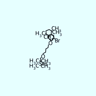 C[SiH](C)C(C)(C)COCCCCCOc1cc2c(cc1Br)C(C)(C)CCC2(C)C